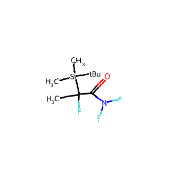 CC(C)(C)[Si](C)(C)C(C)(F)C(=O)N(F)F